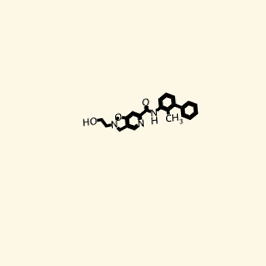 Cc1c(NC(=O)c2cc3c(cn2)CN(CCO)O3)cccc1-c1ccccc1